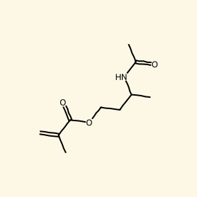 C=C(C)C(=O)OCCC(C)NC(C)=O